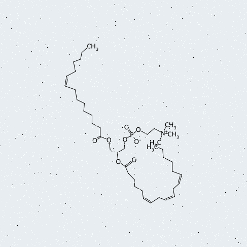 CCCCC/C=C\C/C=C\C/C=C\CCCCC(=O)O[C@H](COC(=O)CCCCCCC/C=C\CCCCC)COP(=O)([O-])OCC[N+](C)(C)C